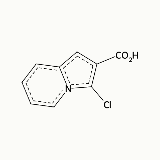 O=C(O)c1cc2ccccn2c1Cl